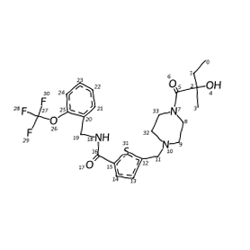 CCC(C)(O)C(=O)N1CCN(Cc2ccc(C(=O)NCc3ccccc3OC(F)(F)F)s2)CC1